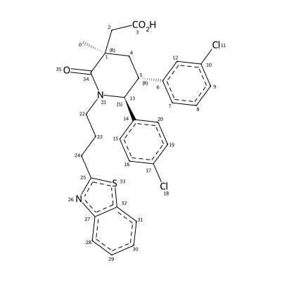 C[C@]1(CC(=O)O)C[C@H](c2cccc(Cl)c2)[C@@H](c2ccc(Cl)cc2)N(CCCc2nc3ccccc3s2)C1=O